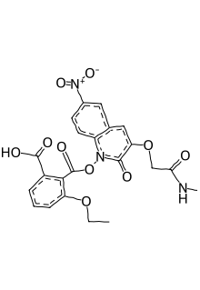 CCOc1cccc(C(=O)O)c1C(=O)On1c(=O)c(OCC(=O)NC)cc2cc([N+](=O)[O-])ccc21